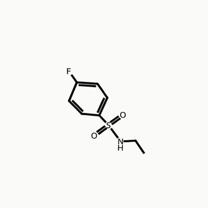 CCNS(=O)(=O)c1ccc(F)cc1